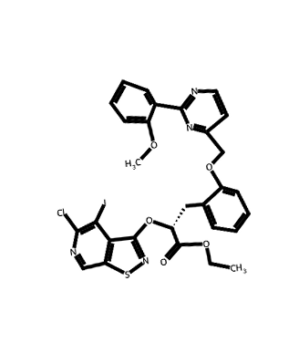 CCOC(=O)[C@@H](Cc1ccccc1OCc1ccnc(-c2ccccc2OC)n1)Oc1nsc2cnc(Cl)c(I)c12